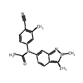 Cc1cc(N(C(N)=O)c2ccc3c(C)n(C)nc3c2)ccc1C#N